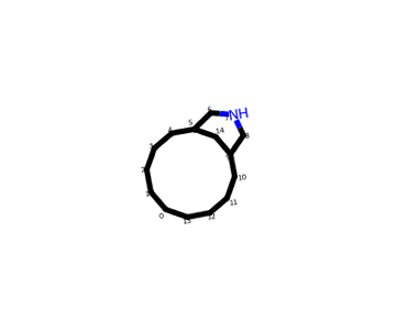 C1CCCC[C]2CNCC(CCCC1)C2